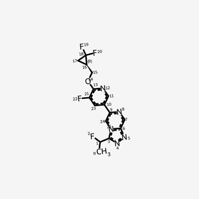 CC(F)c1nnc2cnc(-c3cnc(OC[C@H]4CC4(F)F)c(F)c3)cn12